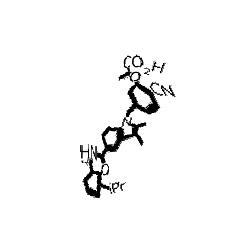 Cc1c(C)n(Cc2ccc(C#N)c(O[C@@H](C)C(=O)O)c2)c2ccc(C(=O)N[C@@H](C)c3cccc(C(C)C)c3)cc12